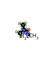 CC(C)Cn1cnc2c(-c3cc(F)cc(F)c3)nc(-c3cc(F)cc(F)c3)cc2c1=O